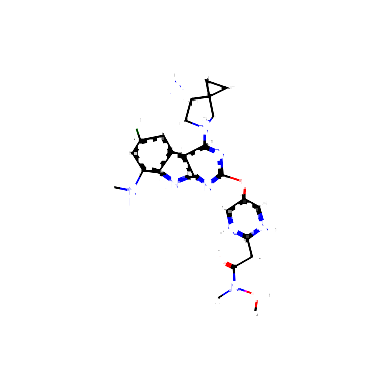 CNc1cc(F)cc2c1[nH]c1nc(Oc3cnc(CC(=O)N(C)OC)nc3)nc(N3C[C@H](N)C4(CC4)C3)c12